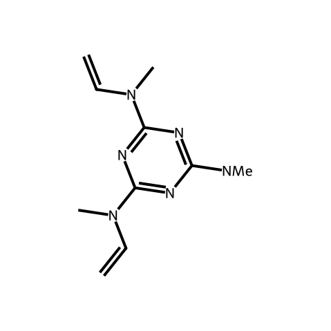 C=CN(C)c1nc(NC)nc(N(C)C=C)n1